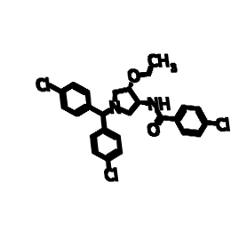 CCO[C@H]1CN(C(c2ccc(Cl)cc2)c2ccc(Cl)cc2)C[C@@H]1NC(=O)c1ccc(Cl)cc1